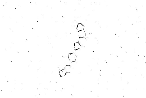 CC(NC(=O)c1ccc(N2CCN(C(=O)Cc3c(Cl)cccc3Cl)CC2)cc1)c1ccc(F)cc1